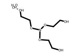 C.O.OCCON(OCCO)OCCO